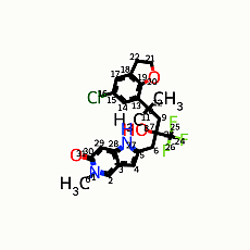 Cn1cc2cc(CC(O)(CC(C)(C)c3cc(Cl)cc4c3OCC4)C(F)(F)F)[nH]c2cc1=O